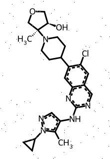 Cc1c(Nc2ncc3cc(Cl)c(C4CCN([C@@]5(C)COC[C@H]5O)CC4)cc3n2)cnn1C1CC1